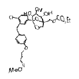 CCOC(=O)OC[C@@]12CO[C@@](c3ccc(Cl)c(Cc4ccc(OCCC=NOC)cc4)c3)(O1)[C@H](O)[C@@H](O)[C@@H]2O